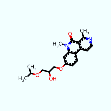 Cc1nccc2c1c(=O)n(C)c1cc(OCC(O)COC(C)C)ccc21